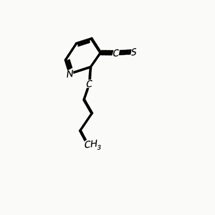 CCCCCC1N=CC=CC1=C=S